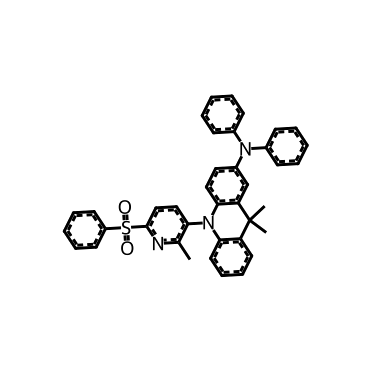 Cc1nc(S(=O)(=O)c2ccccc2)ccc1N1c2ccccc2C(C)(C)c2cc(N(c3ccccc3)c3ccccc3)ccc21